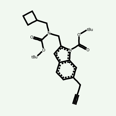 C#CCc1ccc2cc(CN(CC3CCC3)C(=O)OC(C)(C)C)n(C(=O)OC(C)(C)C)c2c1